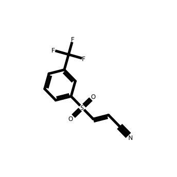 N#C/C=C/S(=O)(=O)c1cccc(C(F)(F)F)c1